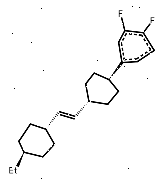 CC[C@H]1CC[C@H](/C=C/[C@H]2CC[C@H](c3ccc(F)c(F)c3)CC2)CC1